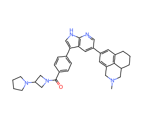 CN1Cc2cc(-c3cnc4[nH]cc(-c5ccc(C(=O)N6CC(N7CCCC7)C6)cc5)c4c3)cc3c2C(CCC3)C1